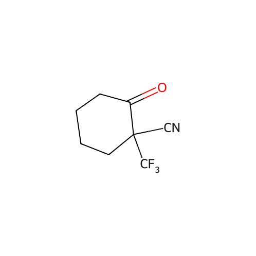 N#CC1(C(F)(F)F)CCCCC1=O